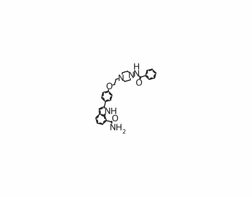 NC(=O)c1cccc2cc(-c3ccc(OCCN4CCN(NC(=O)c5ccccc5)CC4)cc3)[nH]c12